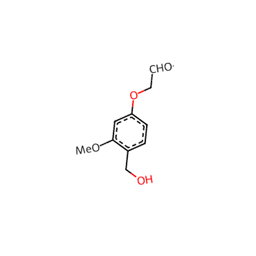 COc1cc(OC[C]=O)ccc1CO